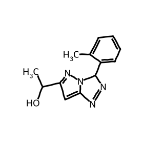 Cc1ccccc1C1N=Nc2cc(C(C)O)nn21